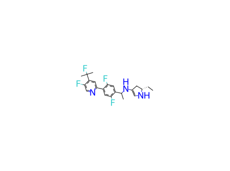 CC[C@H]1CC(NC(C)c2cc(F)c(-c3cc(C(C)(C)F)c(F)cn3)cc2F)=CN1